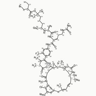 COc1cc2cc(c1Cl)N(C)C(=O)C[C@H](OC(=O)[C@H](C)N(C)C(=O)c1ccc(NC(=O)[C@H](CCCNC(N)=O)NC(=O)[C@@H](NC(C=O)CCCC(C)(C)OC(=O)C(CBr)CBr)C(C)C)cc1C(F)(F)F)[C@]1(C)O[C@H]1[C@H](C)[C@@H]1C[C@@](O)(NC(=O)O1)[C@H](OC)/C=C/C=C(\C)C2